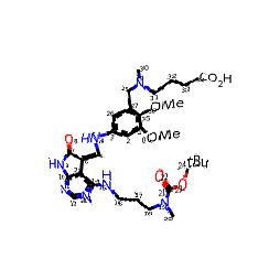 COc1cc(N/C=C2\C(=O)Nc3ncnc(NCCCN(C)C(=O)OC(C)(C)C)c32)cc(CN(C)CCCC(=O)O)c1OC